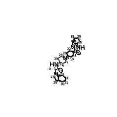 C[C@H](C(=O)NC1CCN(c2ccc(S(=O)(=O)Nc3nccs3)cc2)CC1)n1ccc2ccccc21